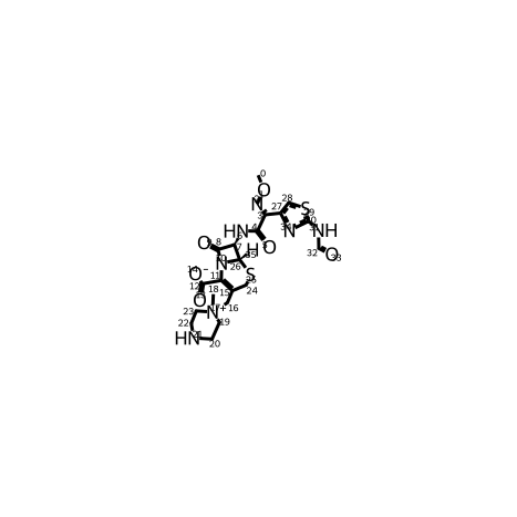 CON=C(C(=O)N[C@@H]1C(=O)N2C(C(=O)[O-])=C(C[N+]3(C)CCNCC3)CS[C@@H]12)c1csc(NC=O)n1